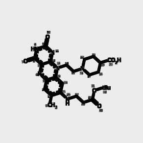 Cc1cc2nc3c(=O)[nH]c(=O)nc-3n(CCN3CCC(C(=O)O)CC3)c2cc1NCCC(=O)OC(C)(C)C